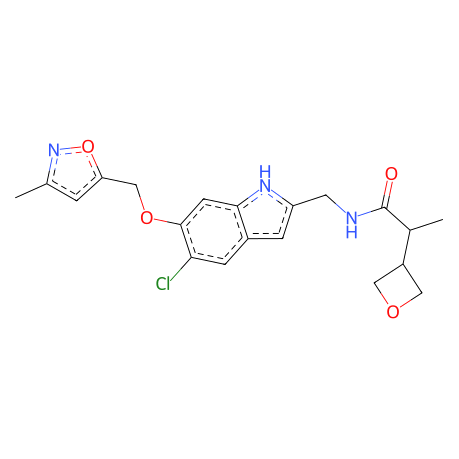 Cc1cc(COc2cc3[nH]c(CNC(=O)C(C)C4COC4)cc3cc2Cl)on1